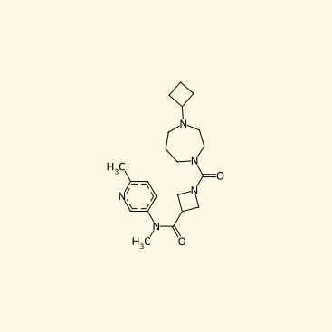 Cc1ccc(N(C)C(=O)C2CN(C(=O)N3CCCN(C4CCC4)CC3)C2)cn1